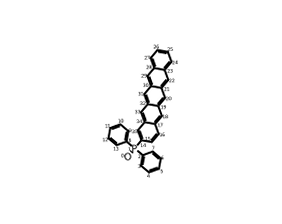 O=P(c1ccccc1)(c1ccccc1)c1ccc2cc3cc4cc5ccccc5cc4cc3cc2c1